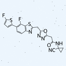 N#CC1(NC(=O)Cc2nnc(Cc3nc4ccc(-c5ccc(F)s5)c(F)c4s3)o2)CC1